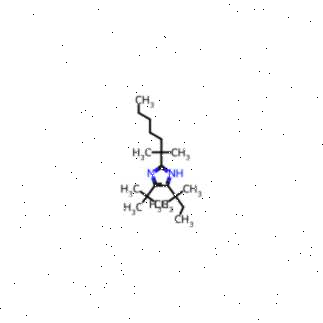 CCCCCC(C)(C)c1nc(C(C)(C)C)c(C(C)(C)CC)[nH]1